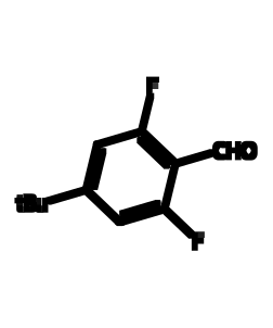 CC(C)(C)c1cc(F)c(C=O)c(F)c1